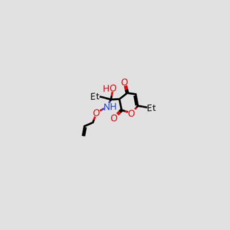 C=CCONC(O)(CC)C1C(=O)C=C(CC)OC1=O